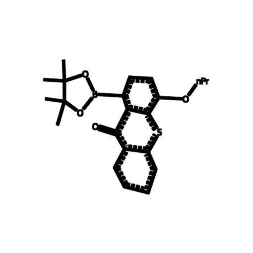 CCCOc1ccc(B2OC(C)(C)C(C)(C)O2)c2c(=O)c3ccccc3sc12